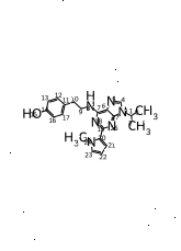 CC(C)n1cnc2c(NCCc3ccc(O)cc3)nc(-c3cccn3C)nc21